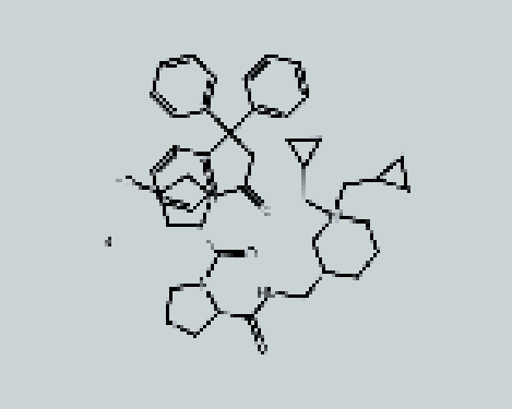 O=C(NC[C@@H]1CCC[N+](CC2CC2)(CC2CC2)C1)[C@H]1CCCN1C(=O)[C@@H]1C[C@@H](O)CN1C(=O)CC(c1ccccc1)(c1ccccc1)c1ccccc1.[Br-]